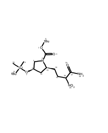 CC(C)(C)OC(=O)N1C[C@H](O[Si](C)(C)C(C)(C)C)C[C@@H]1CCC(C(N)=O)[N+](=O)[O-]